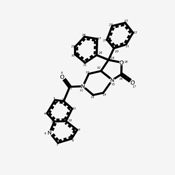 O=C(c1ccc2ncccc2c1)N1CCN2C(=O)OC(c3ccccc3)(c3ccccc3)C2C1